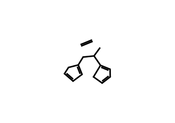 C=C.CC(CC1=CC=CC1)C1=CC=CC1